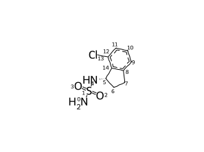 NS(=O)(=O)N[C@H]1CCc2cccc(Cl)c21